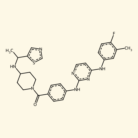 Cc1cc(Nc2ccnc(Nc3ccc(C(=O)N4CCC(NC(C)c5cncs5)CC4)cc3)n2)ccc1F